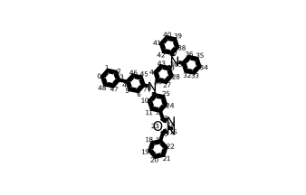 c1ccc(-c2ccc(N(c3ccc(-c4nnc(-c5ccccc5)o4)cc3)c3ccc(N(c4ccccc4)c4ccccc4)cc3)cc2)cc1